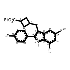 CCOC(=O)C1CC(Cc2c(-c3ccc(F)cc3)[nH]c3c(F)cc(F)cc23)C1